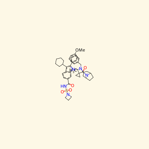 COc1ccc(-c2c(C3CCCCC3)c3ccc(C(=O)NS(=O)(=O)N4CCC4)cc3n2CC2(C(=O)N3C4CCC3CC(N(C)Cc3ccccc3)C4)CC2)cc1